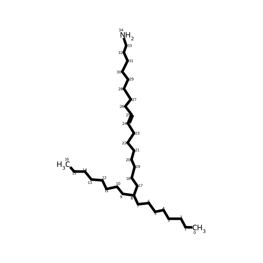 CCCCCCCCC(CCCCCCCC)CCCCCCCC=CCCCCCCCCN